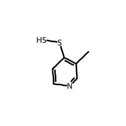 Cc1cnccc1SS